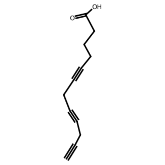 C#CCC#CCC#CCCCC(=O)O